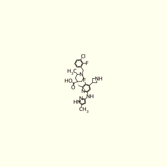 Cc1cc(Nc2cc(C3CNC3)c(F)c(C[C@@]3(C(=O)O)CCN(Cc4cccc(Cl)c4F)[C@H](C)C3)n2)n[nH]1